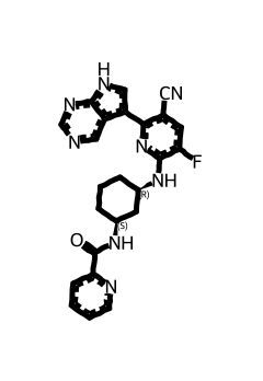 N#Cc1cc(F)c(N[C@@H]2CCC[C@H](NC(=O)c3ccccn3)C2)nc1-c1c[nH]c2ncncc12